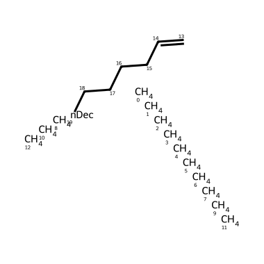 C.C.C.C.C.C.C.C.C.C.C.C.C.C=CCCCCCCCCCCCCCC